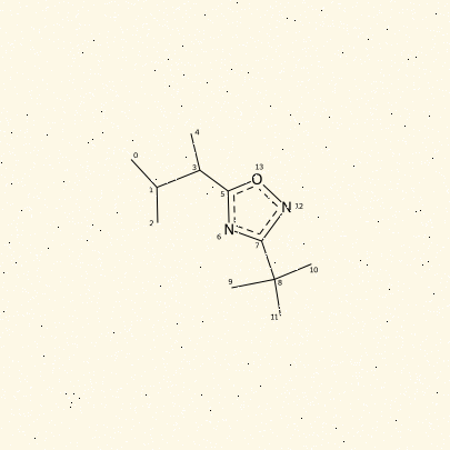 CC(C)C(C)c1nc(C(C)(C)C)no1